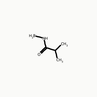 BNC(=O)C(C)C